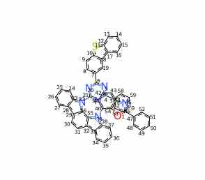 c1ccc(-c2nc(-c3ccc4sc5ccccc5c4c3)nc(-n3c4ccccc4c4ccc5c6ccccc6n(-c6cccc7nc(-c8ccccc8)oc67)c5c43)n2)cc1